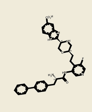 N[C@@H](Cc1ccc(-c2ccccc2)cc1)C(=O)Nc1cncc(F)c1CC[C@@H]1CN[C@H](c2nc3cc(C(=O)O)ccc3[nH]2)CO1